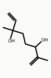 C=CC(C)(O)CCC(O)C(=C)C